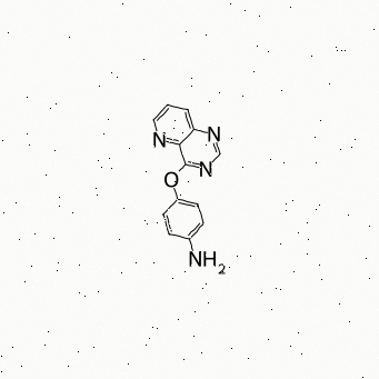 Nc1ccc(Oc2ncnc3cccnc23)cc1